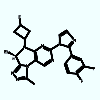 CC[C@@H]1c2nnc(C)n2-c2cnc(-n3ccnc3-c3ccc(F)c(F)c3)nc2N1C1CC(F)C1